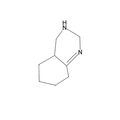 C1CCC2CNCN=C2C1